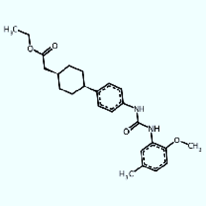 CCOC(=O)C[C@H]1CC[C@@H](c2ccc(NC(=O)Nc3cc(C)ccc3OC)cc2)CC1